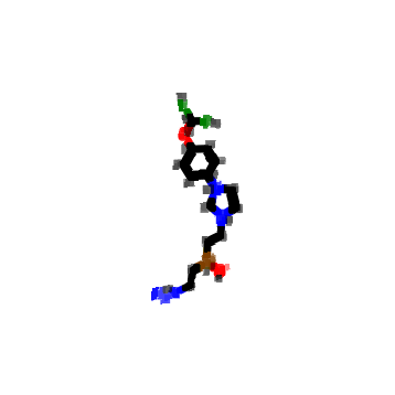 NCC[S+]([O-])CCN1C=CN(c2ccc(OC(F)F)cc2)C1